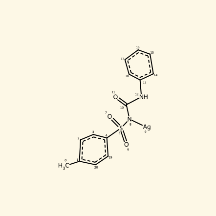 Cc1ccc(S(=O)(=O)[N]([Ag])C(=O)Nc2ccccc2)cc1